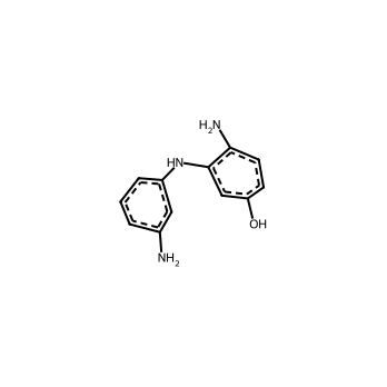 Nc1cccc(Nc2cc(O)ccc2N)c1